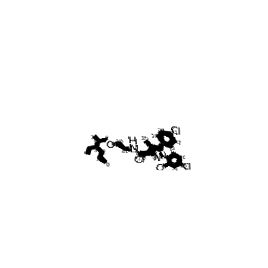 C=CCC(CC)C(C)COCCNC(=O)c1nn(-c2ccc(Cl)cc2Cl)c(-c2ccc(Cl)cc2)c1C